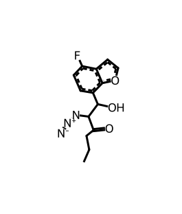 CCCC(=O)C(N=[N+]=[N-])C(O)c1ccc(F)c2ccoc12